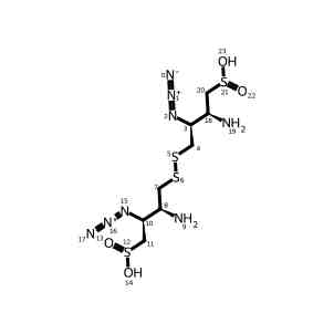 [N-]=[N+]=N[C@H](CSSC[C@@H](N)[C@@H](CS(=O)O)N=[N+]=[N-])[C@H](N)CS(=O)O